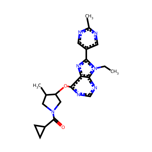 CCn1c(-c2cnc(C)nc2)nc2c(OC3CN(C(=O)C4CC4)CC3C)ncnc21